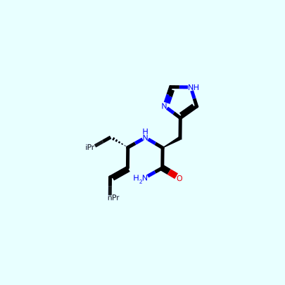 CCCC=C[C@H](CC(C)C)N[C@@H](Cc1c[nH]cn1)C(N)=O